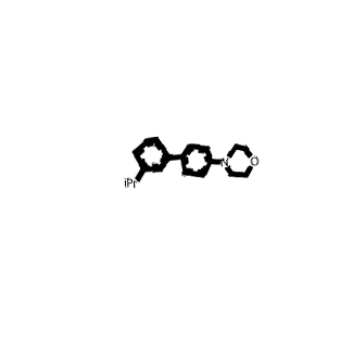 CC(C)c1cccc(-c2ccc(N3CCOCC3)cc2)c1